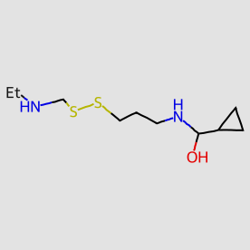 CCNCSSCCCNC(O)C1CC1